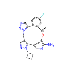 C[C@H]1Oc2cc(cnc2N)-c2c(cnn2C2CCC2)Cn2nncc2-c2ccc(F)cc21